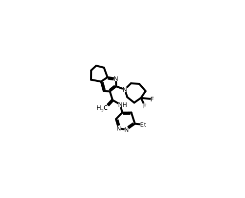 C=C(Nc1cnnc(CC)c1)c1cc2c(nc1N1CCCC(F)(F)CC1)CCCC2